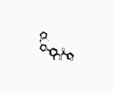 Cc1cc(N2CC[C@H](CN3CCC[C@@H]3C)C2)ccc1NC(=O)c1ccoc1